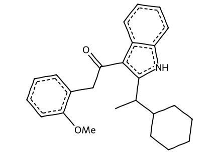 COc1ccccc1CC(=O)c1c(C(C)C2CCCCC2)[nH]c2ccccc12